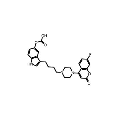 O=C(O)Oc1ccc2[nH]cc(CCCCN3CCN(c4cc(=O)oc5cc(F)ccc45)CC3)c2c1